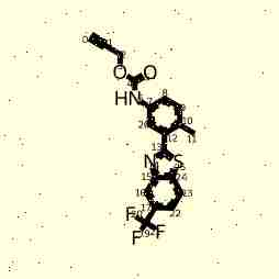 C#CCOC(=O)Nc1ccc(C)c(-c2nc3cc(C(F)(F)F)ccc3s2)c1